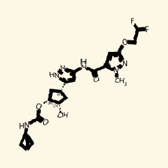 Cn1nc(OCC(F)F)cc1C(=O)Nc1cc([C@@H]2C[C@H](O)[C@H](OC(=O)NC34CC(C3)C4)C2)[nH]n1